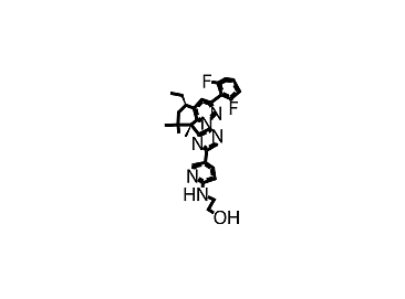 CC[C@@H]1CC(C)(C)[C@@](C)(c2cncc(-c3ccc(NCCO)nc3)n2)c2nnc(-c3c(F)cccc3F)cc21